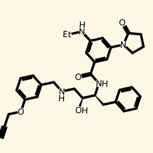 C#CCOc1cccc(CNC[C@H](O)[C@H](Cc2ccccc2)NC(=O)c2cc(NCC)cc(N3CCCC3=O)c2)c1